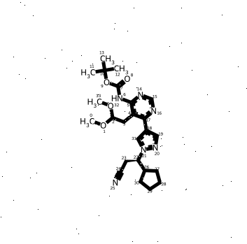 COC(Cc1c(NC(=O)OC(C)(C)C)ncnc1-c1cnn([C@H](CC#N)C2CCCC2)c1)OC